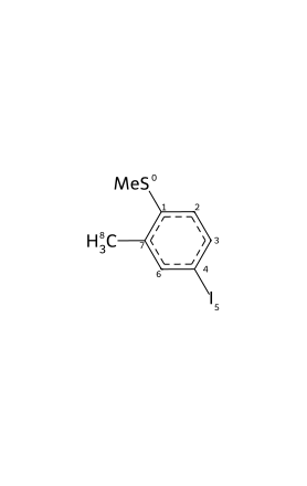 CSc1ccc(I)cc1C